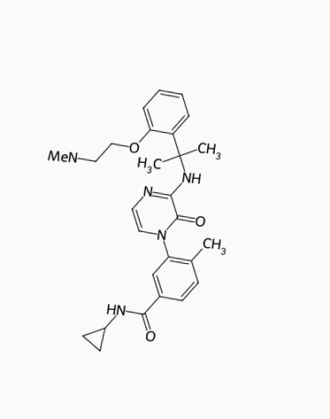 CNCCOc1ccccc1C(C)(C)Nc1nccn(-c2cc(C(=O)NC3CC3)ccc2C)c1=O